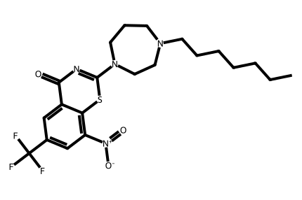 CCCCCCCN1CCCN(c2nc(=O)c3cc(C(F)(F)F)cc([N+](=O)[O-])c3s2)CC1